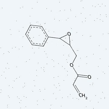 C=CC(=O)OCC1OC1c1ccccc1